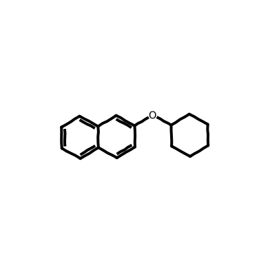 c1ccc2cc(OC3CCCCC3)ccc2c1